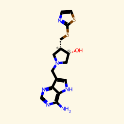 Nc1ncnc2c(CN3C[C@H](CSc4nccs4)[C@H](O)C3)c[nH]c12